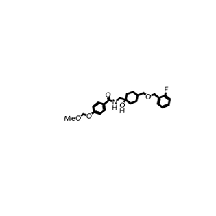 COCOc1ccc(C(=O)NCC2(O)CCC(COCc3ccccc3F)CC2)cc1